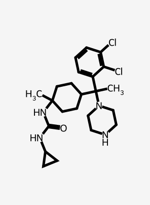 CC1(NC(=O)NC2CC2)CCC(C(C)(c2cccc(Cl)c2Cl)N2CCNCC2)CC1